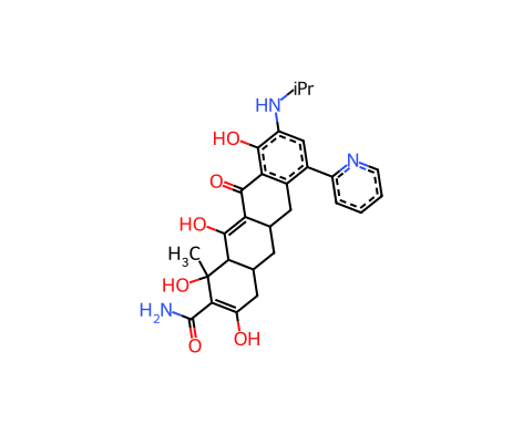 CC(C)Nc1cc(-c2ccccn2)c2c(c1O)C(=O)C1=C(O)C3C(CC(O)=C(C(N)=O)C3(C)O)CC1C2